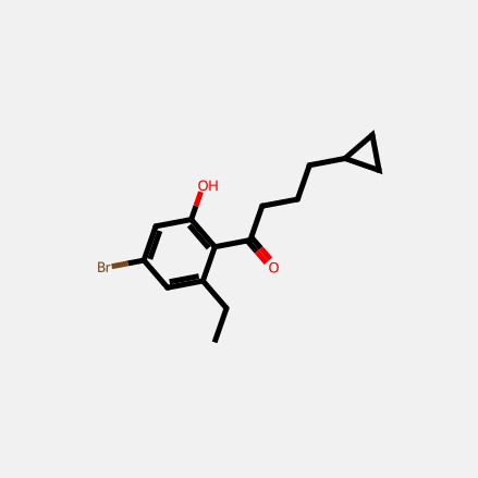 CCc1cc(Br)cc(O)c1C(=O)CCCC1CC1